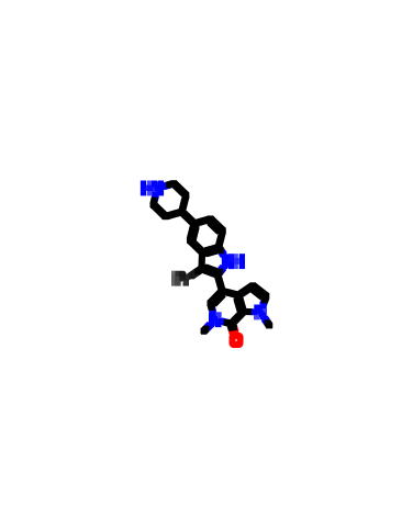 CC(C)c1c(-c2cn(C)c(=O)c3c2ccn3C)[nH]c2ccc(C3CCNCC3)cc12